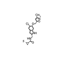 Cc1cc(COc2cc3[nH]c(CNC(=O)[C@H]4C[C@@H]4F)cc3cc2Cl)on1